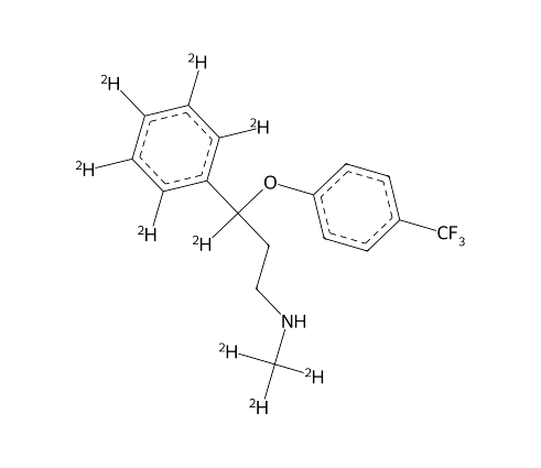 [2H]c1c([2H])c([2H])c(C([2H])(CCNC([2H])([2H])[2H])Oc2ccc(C(F)(F)F)cc2)c([2H])c1[2H]